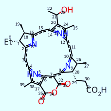 CC[C@H]1c2cc3[nH]c4c(c5nc(cc6[nH]c(cc(n2)[C@@H]1C)c(C(C)O)c6C)[C@@H](C)[C@@H]5CCC(=O)O)C(=O)OC(=O)c4c3C